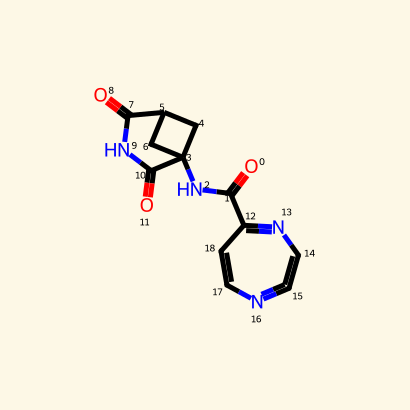 O=C(NC12CC(C1)C(=O)NC2=O)C1=NC=C=NC=C1